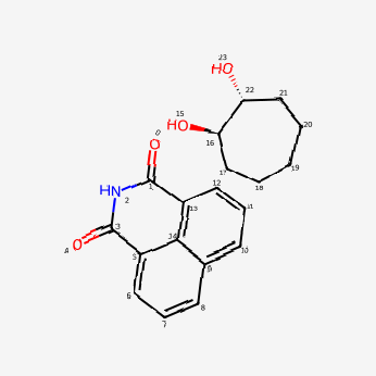 O=C1NC(=O)c2cccc3cccc1c23.O[C@@H]1CCCCC[C@H]1O